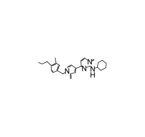 C=C/C=C(\C=C/N(C)Cc1ccc(CCC)c(C)c1)C(/C=C\N=C)=N/CNC1CCCCC1